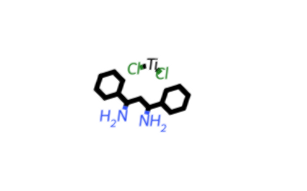 NC(CC(N)C1CCCCC1)C1CCCCC1.[Cl][Ti][Cl]